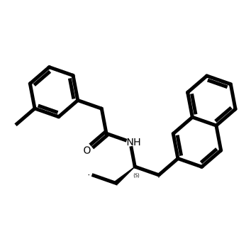 [CH2]C[C@H]([CH]c1ccc2ccccc2c1)NC(=O)Cc1cccc(C)c1